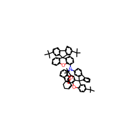 CC(C)(C)c1ccc2c(c1)C1(c3cc(C(C)(C)C)ccc3O2)c2ccccc2-c2ccc(N(c3cccc4c3Oc3ccccc3C43c4cc(C(C)(C)C)ccc4-c4ccc(C(C)(C)C)cc43)c3cccc4c5c(oc34)C=CCC5)cc21